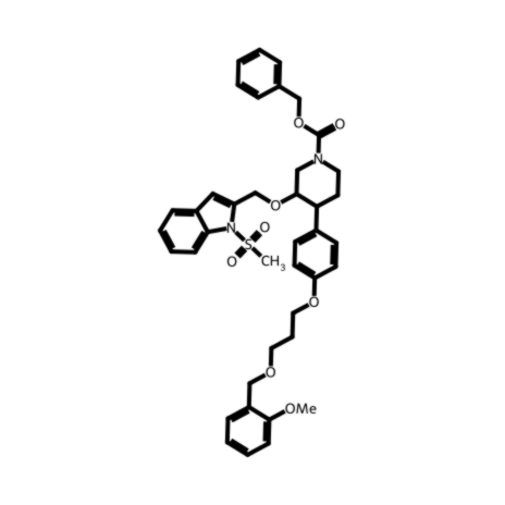 COc1ccccc1COCCCOc1ccc(C2CCN(C(=O)OCc3ccccc3)CC2OCc2cc3ccccc3n2S(C)(=O)=O)cc1